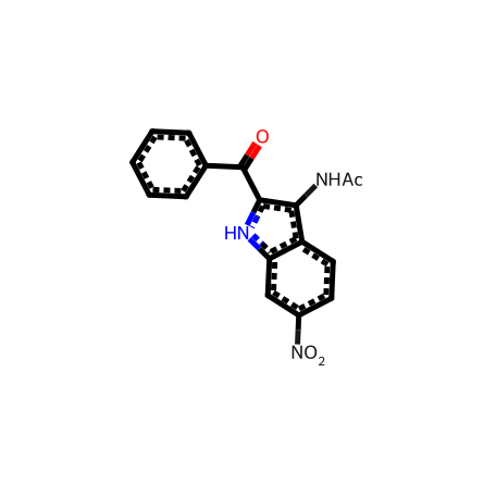 CC(=O)Nc1c(C(=O)c2ccccc2)[nH]c2cc([N+](=O)[O-])ccc12